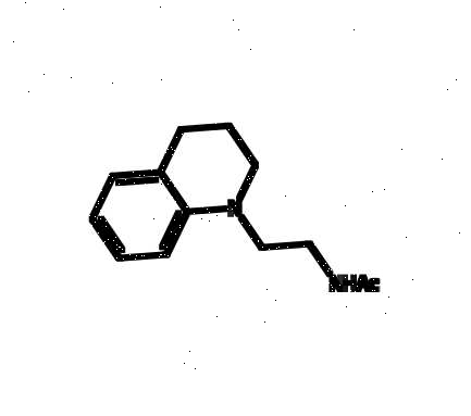 CC(=O)NCCN1CCCc2ccccc21